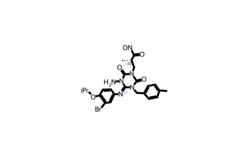 Cc1ccc(Cn2c(=O)n(C[C@H](C)C(=O)N=O)c(=O)n(N)/c2=N\c2ccc(OC(C)C)c(Br)c2)cc1